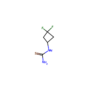 NC(=S)NC1CC(F)(F)C1